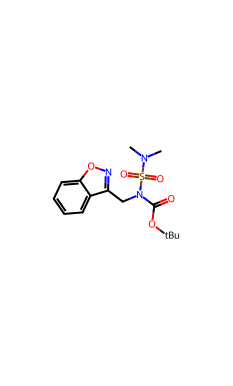 CN(C)S(=O)(=O)N(Cc1noc2ccccc12)C(=O)OC(C)(C)C